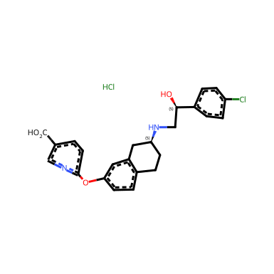 Cl.O=C(O)c1ccc(Oc2ccc3c(c2)C[C@@H](NC[C@@H](O)c2ccc(Cl)cc2)CC3)nc1